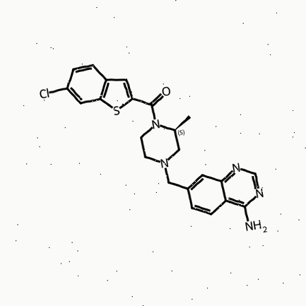 C[C@H]1CN(Cc2ccc3c(N)ncnc3c2)CCN1C(=O)c1cc2ccc(Cl)cc2s1